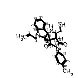 C=CCN1C(=O)[C@@]2(N[C@@H](CS)[C@H]3C(=O)N(c4ccc(C)cc4)C(=O)[C@H]32)c2ccccc21